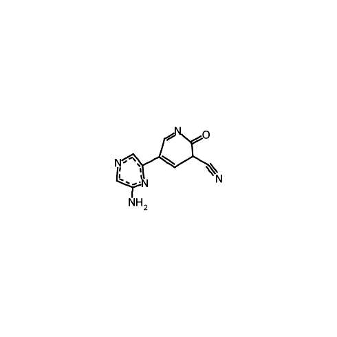 N#CC1C=C(c2cncc(N)n2)C=NC1=O